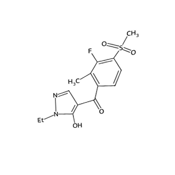 CCn1ncc(C(=O)c2ccc(S(C)(=O)=O)c(F)c2C)c1O